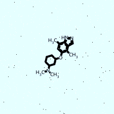 Cc1c(OC2CCCC(N(C)C)C2)cc(C)c2[nH]ncc12